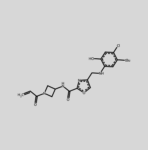 C=CC(=O)N1CC(NC(=O)c2nc(CNc3cc(C(C)(C)C)c(Cl)cc3O)co2)C1